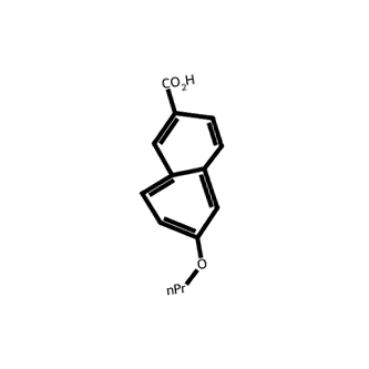 CCCOc1ccc2cc(C(=O)O)ccc2c1